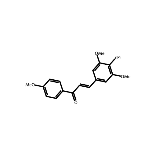 CCCc1c(OC)cc(C=CC(=O)c2ccc(OC)cc2)cc1OC